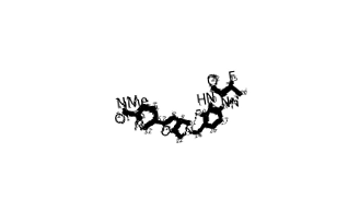 CNC(=O)c1ccc(-c2cc3c(o2)CN(Cc2ccc4c([nH]c(=O)c5c(F)cnn54)c2F)C3)cn1